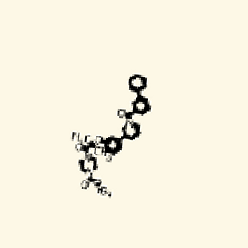 CC(C)(C)OC(=O)N1CCN(C(=O)C(C)(C)Oc2cccc(C3CCCN(C(=O)c4cccc(C5CCCCC5)c4)C3)c2)CC1